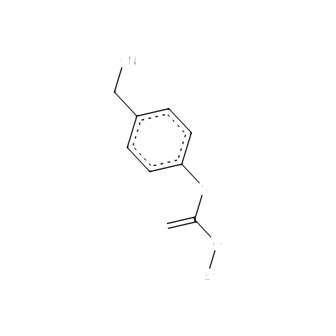 CCOC(=S)Sc1ccc(CC#N)cc1